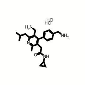 Cc1nc(CC(C)C)c(CN)c(-c2ccc(CN)cc2)c1CC(=O)NC1CC1.Cl.Cl